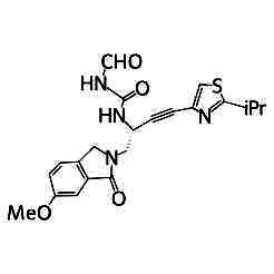 COc1ccc2c(c1)C(=O)N(C[C@@H](C#Cc1csc(C(C)C)n1)NC(=O)NC=O)C2